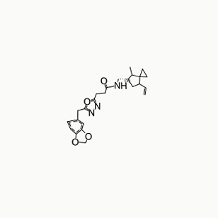 C=CC1C[C@H](CNC(=O)CCc2nnc(Cc3ccc4c(c3)OCO4)o2)C(C)C12CC2